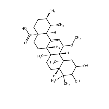 COC1C=C2[C@@H]3[C@@H](C)[C@H](C)CC[C@]3(C(=O)O)CC[C@@]2(C)[C@]2(C)CC[C@H]3C(C)(C)C(O)C(O)C[C@]3(C)[C@@H]12